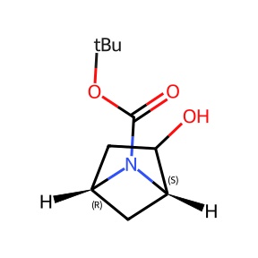 CC(C)(C)OC(=O)N1[C@H]2CC(O)[C@@H]1C2